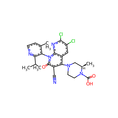 Cc1ccnc(C(C)C)c1-n1c(=O)c(C#N)c(N2CCN(C(=O)O)[C@H](C)C2)c2cc(Cl)c(Cl)nc21